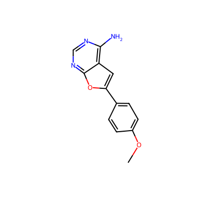 COc1ccc(-c2cc3c(N)ncnc3o2)cc1